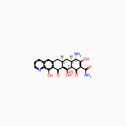 NC(=O)C1=C(O)[C@@H](N)[C@@H]2C[C@@H]3Cc4cc5cccnc5c(O)c4C(=O)C3=C(O)[C@]2(O)C1=O